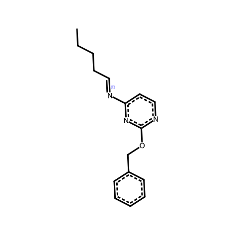 CCCC/C=N/c1ccnc(OCc2ccccc2)n1